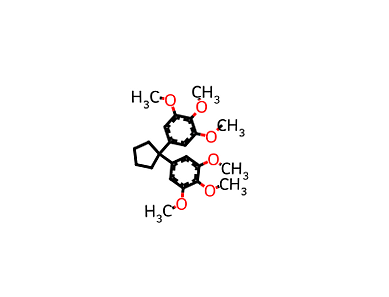 COc1cc(C2(c3cc(OC)c(OC)c(OC)c3)CCCC2)cc(OC)c1OC